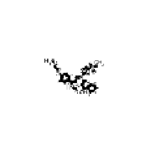 CCS(=O)(=O)c1csc(NC(=O)[C@H]([C@@H](C)c2ccccc2)N2C(=O)NC(c3ccc(OCCOC)cc3)C2=O)n1